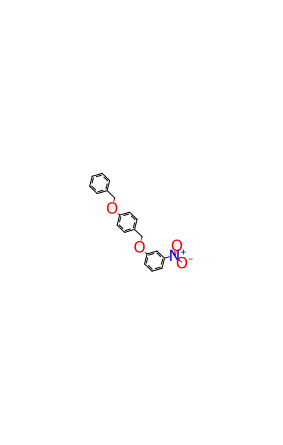 O=[N+]([O-])c1cccc(OCc2ccc(OCc3ccccc3)cc2)c1